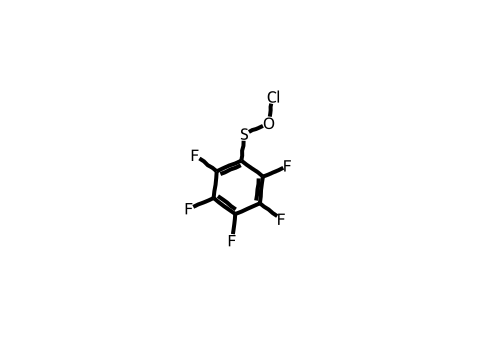 Fc1c(F)c(F)c(SOCl)c(F)c1F